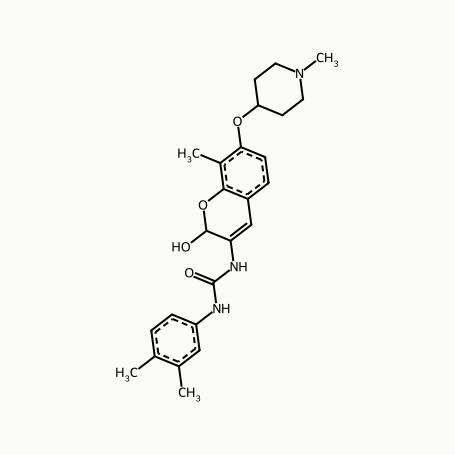 Cc1ccc(NC(=O)NC2=Cc3ccc(OC4CCN(C)CC4)c(C)c3OC2O)cc1C